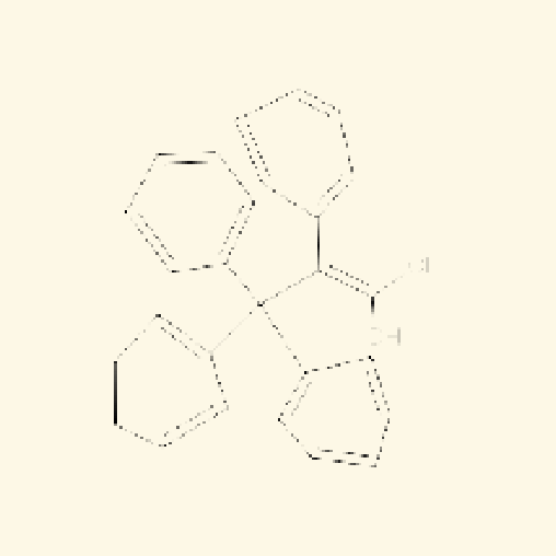 OC(O)=C(c1ccccc1)C(c1ccccc1)(c1ccccc1)c1ccccc1